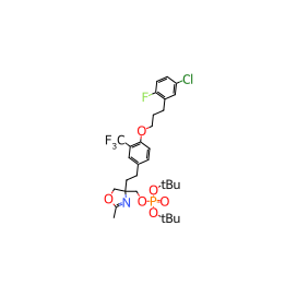 CC1=NC(CCc2ccc(OCCCc3cc(Cl)ccc3F)c(C(F)(F)F)c2)(COP(=O)(OC(C)(C)C)OC(C)(C)C)CO1